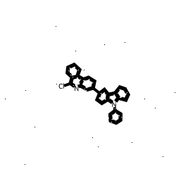 Clc1nc2cc(-c3ccc4c(c3)c3ccccc3n4-c3ccccc3)ccc2c2ccccc12